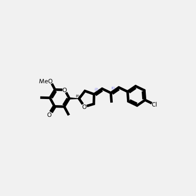 COc1oc([C@H]2C/C(=C/C(C)=C/c3ccc(Cl)cc3)CO2)c(C)c(=O)c1C